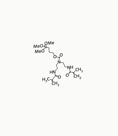 C=C(C)C(=O)NCCN(CCNC(=O)C(=C)C)C(=O)OCCC[Si](OC)(OC)OC